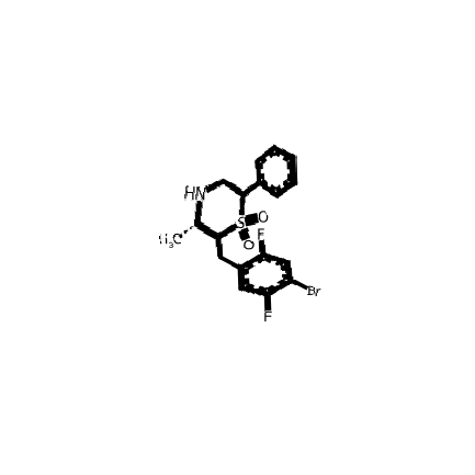 C[C@@H]1NCC(c2ccccc2)S(=O)(=O)C1Cc1cc(F)c(Br)cc1F